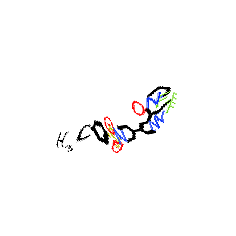 Cc1ccc(S(=O)(=O)N2CCC(c3ccn4nc(C(F)(F)F)c(C(=O)N5CCCC5)c4c3)CC2)cc1